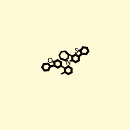 Cc1cccc(N2C3=CCCC=C(C3)c3c2ccc2c3sc3ccccc32)c1-c1ccc2oc3ccccc3c2c1